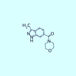 [CH2]c1n[nH]c2cc(C(=O)N3CCOCC3)ccc12